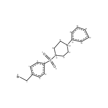 O=S(=O)(c1ccc(CBr)cc1)N1CCN(c2ccccc2)CC1